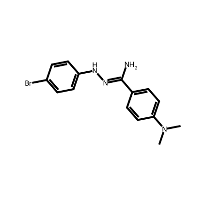 CN(C)c1ccc(C(N)=NNc2ccc(Br)cc2)cc1